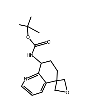 CC(C)(C)OC(=O)NC1CCC2(COC2)c2cccnc21